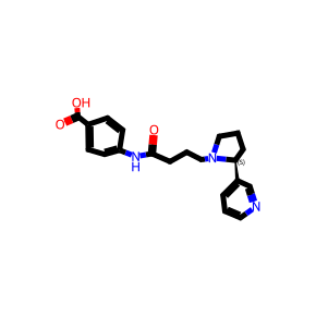 O=C(CCCN1CCC[C@H]1c1cccnc1)Nc1ccc(C(=O)O)cc1